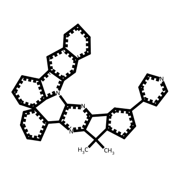 CC1(C)c2ccc(-c3ccncc3)cc2-c2nc(-n3c4ccccc4c4cc5ccccc5cc43)c(-c3ccccc3)nc21